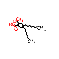 CCCCCCCCC1=C(CCCCCCCC)CC(C(=O)O)C(C(=O)O)C1